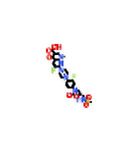 Cn1cc(C(=O)O)c(=O)c2cc(F)c(N3CCN(c4ccc(N5C[C@H](CNS(C)(=O)=O)OC5=O)cc4F)CC3)nc21